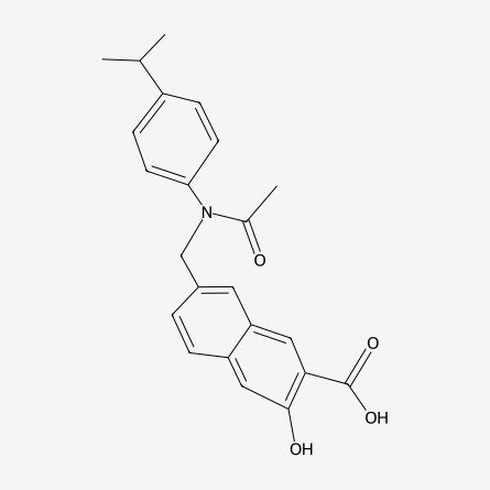 CC(=O)N(Cc1ccc2cc(O)c(C(=O)O)cc2c1)c1ccc(C(C)C)cc1